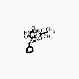 CCC(C)(C)C(=O)On1c(=O)[nH]c(=O)c2c1ncn2Cc1ccccc1